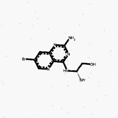 CCC[C@@H](CO)Nc1nc(N)nc2cc(Br)cnc12